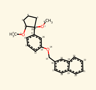 COC1CCC[C@]1(OC)c1cccc(OCc2ccc3ccccc3c2)c1